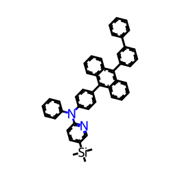 C[Si](C)(C)c1ccc(N(c2ccccc2)c2ccc(-c3c4ccccc4c(-c4cccc(-c5ccccc5)c4)c4ccccc34)cc2)nc1